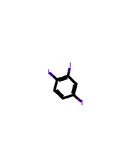 Ic1ccc(I)c(I)c1